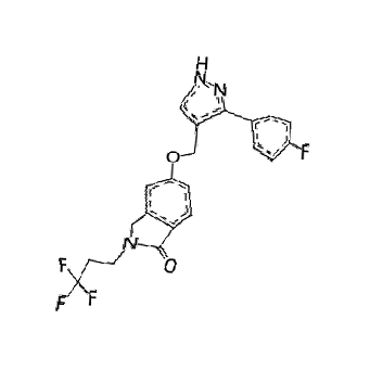 O=C1c2ccc(OCc3c[nH]nc3-c3ccc(F)cc3)cc2CN1CCC(F)(F)F